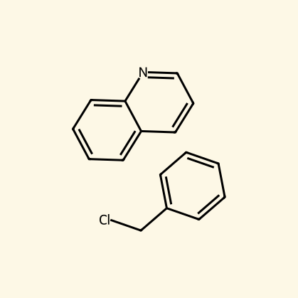 ClCc1ccccc1.c1ccc2ncccc2c1